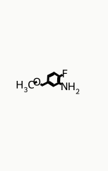 COCc1ccc(F)c(N)c1